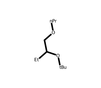 CCCOCC(CC)OC(C)(C)C